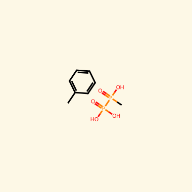 CP(=O)(O)P(=O)(O)O.Cc1ccccc1